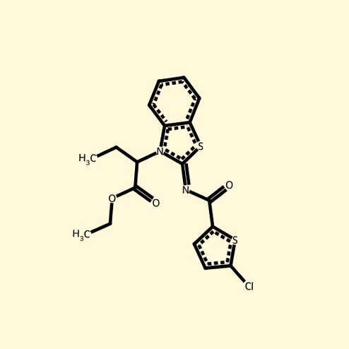 CCOC(=O)C(CC)n1c(=NC(=O)c2ccc(Cl)s2)sc2ccccc21